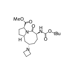 COC(=O)[C@@H]1CC[C@@H]2C[C@@H](N3CCC3)CC[C@H](NC(=O)OC(C)(C)C)C(=O)N21